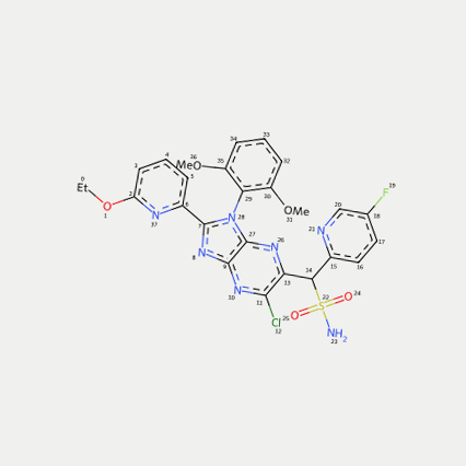 CCOc1cccc(-c2nc3nc(Cl)c(C(c4ccc(F)cn4)S(N)(=O)=O)nc3n2-c2c(OC)cccc2OC)n1